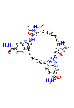 CCn1nc(C)c2c1C(=O)Nc1nc3cc(C(N)=O)ccc3n1CCCCCCn1c(nc3cc(C(N)=O)ccc31)NC(=O)c1cc(C)nn1CCCCC2